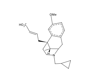 COc1ccc2c(c1)[C@@]1(CC=CC(=O)O)CCN(CC3CC3)C(C2)[C@@H]1C